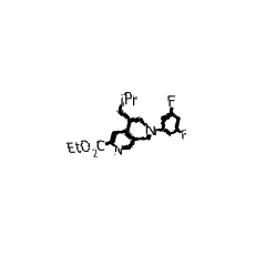 CCOC(=O)c1cc2c(cn1)CN(c1cc(F)cc(F)c1)CC2CC(C)C